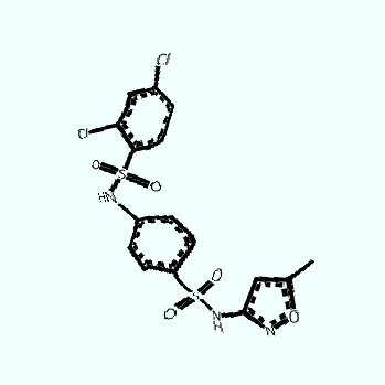 Cc1cc(NS(=O)(=O)c2ccc(NS(=O)(=O)c3ccc(Cl)cc3Cl)cc2)no1